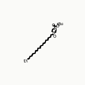 CC/C=C/C/C=C/C/C=C/C/C=C/C/C=C/C/C=C/CCC(=O)N1CCN(C(=O)OC(C)(C)C)CC1